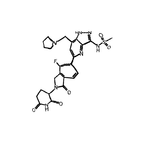 CS(=O)(=O)Nc1n[nH]c2c(CN3CCCC3)cc(-c3ccc4c(c3F)CN(C3CCC(=O)NC3=O)C4=O)nc12